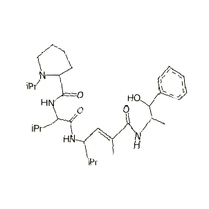 C/C(=C\C(NC(=O)C(NC(=O)C1CCCCN1C(C)C)C(C)C)C(C)C)C(=O)NC(C)C(O)c1ccccc1